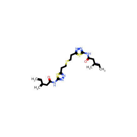 C=CC(=C)CC(=O)Nc1nnc(CCSCCc2nnc(NC(=O)C/C(C)=C/C)s2)s1